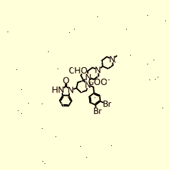 CN1CCC(N2CCN(C3(CC=O)CC(n4c(=O)[nH]c5ccccc54)CC[N@+]3(Cc3ccc(Br)c(Br)c3)C(=O)[O-])CC2)CC1